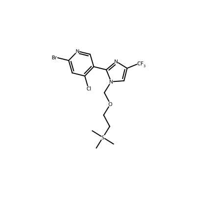 CS(C)(C)CCOCn1cc(C(F)(F)F)nc1-c1cnc(Br)cc1Cl